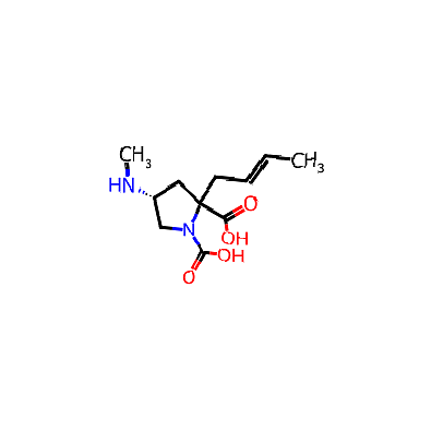 CC=CCC1(C(=O)O)C[C@@H](NC)CN1C(=O)O